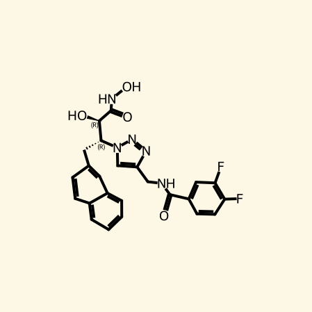 O=C(NCc1cn([C@H](Cc2ccc3ccccc3c2)[C@@H](O)C(=O)NO)nn1)c1ccc(F)c(F)c1